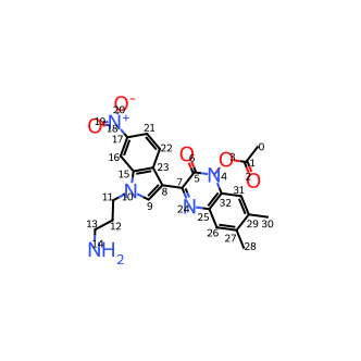 CC(=O)On1c(=O)c(-c2cn(CCCN)c3cc([N+](=O)[O-])ccc23)nc2cc(C)c(C)cc21